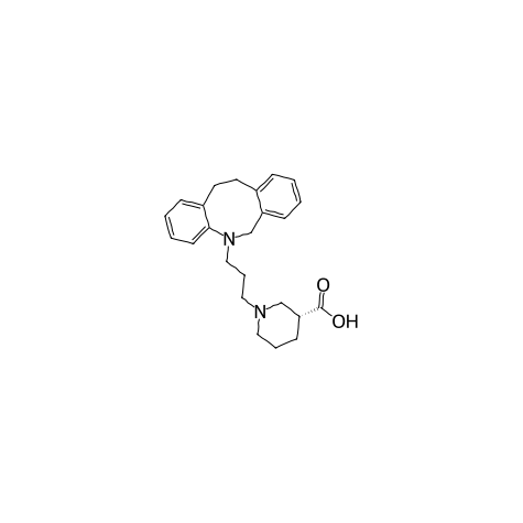 O=C(O)[C@@H]1CCCN(CCCN2Cc3ccccc3CCc3ccccc32)C1